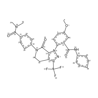 COc1ccc(-n2nc(C(F)(F)F)c3c2C(=O)N(c2ccc(C(=O)N(C)C)cc2)CC3)c(C(=O)Nc2ccccc2)c1